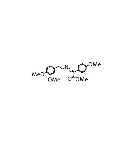 COC(=O)C(=C=NCCc1ccc(OC)c(OC)c1)c1ccc(OC)cc1